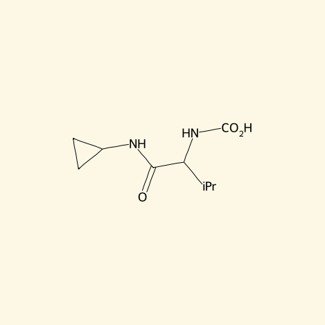 CC(C)C(NC(=O)O)C(=O)NC1CC1